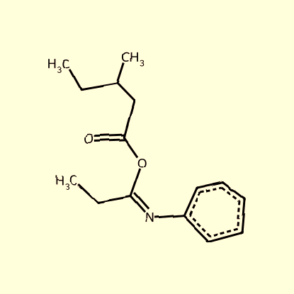 CCC(=Nc1ccccc1)OC(=O)CC(C)CC